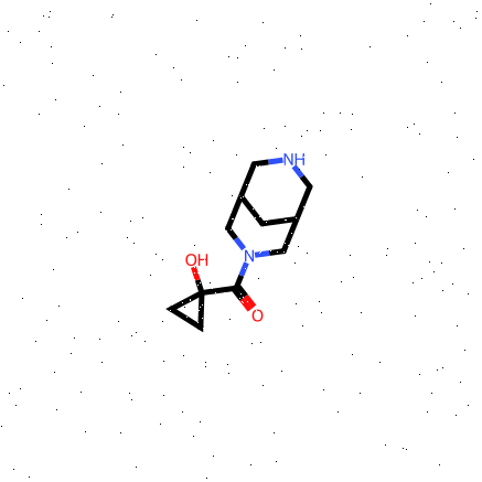 O=C(N1CC2CNCC(C2)C1)C1(O)CC1